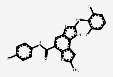 Cc1cc2c(o1)c(C(=O)Nc1ccc(F)cc1)cc1nc(Nc3c(F)cccc3Cl)[nH]c12